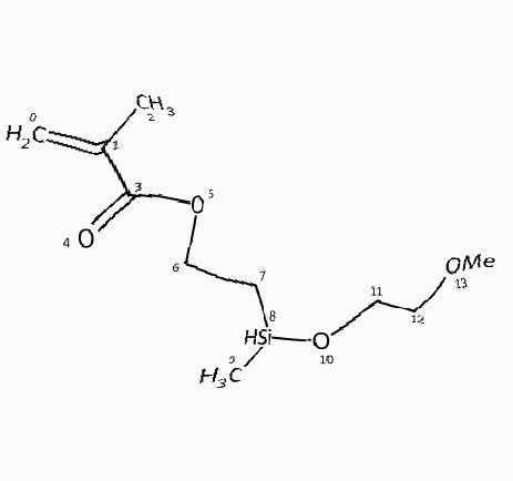 C=C(C)C(=O)OCC[SiH](C)OCCOC